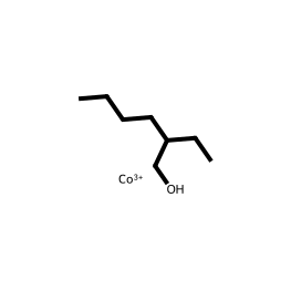 CCCCC(CC)CO.[Co+3]